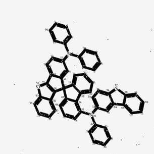 c1ccc(N(c2ccccc2)c2ccc3c(c2)C2(c4ccccc4-c4c(N(c5ccccc5)c5ccc6sc7ccccc7c6c5)cccc42)c2c-3oc3ccccc23)cc1